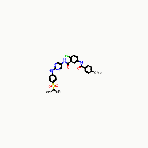 CCCC(CCC)S(=O)(=O)c1ccc(Nc2ncc(NC(=O)c3cc(NC(=O)c4ccc(OC)cc4)ccc3Cl)cn2)cc1